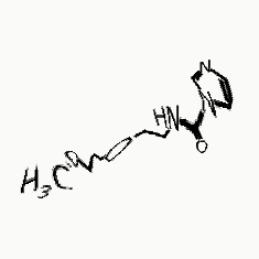 COCCOCCNC(=O)n1ccnc1